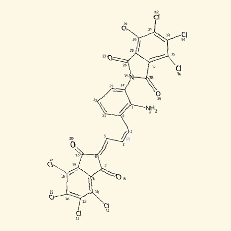 Nc1c(/C=C\C=C2C(=O)c3c(Cl)c(Cl)c(Cl)c(Cl)c3C2=O)cccc1N1C(=O)c2c(Cl)c(Cl)c(Cl)c(Cl)c2C1=O